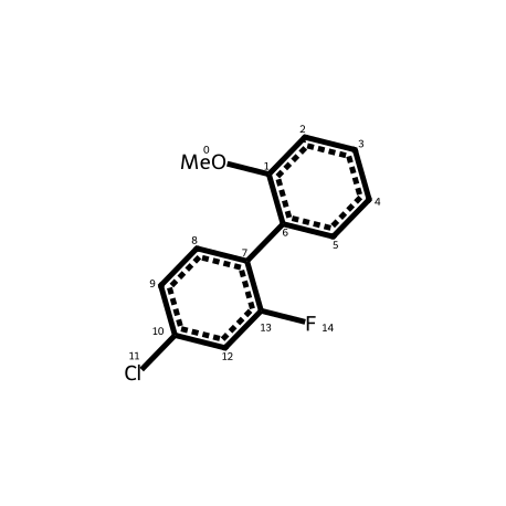 COc1[c]cccc1-c1ccc(Cl)cc1F